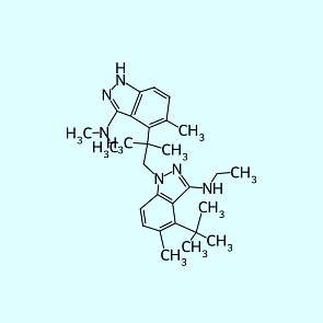 CCNc1nn(CC(C)(C)c2c(C)ccc3[nH]nc(N(C)C)c23)c2ccc(C)c(C(C)(C)C)c12